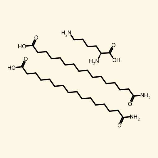 NC(=O)CCCCCCCCCCCCCCC(=O)O.NC(=O)CCCCCCCCCCCCCCC(=O)O.NCCCC[C@H](N)C(=O)O